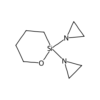 C1CC[Si](N2CC2)(N2CC2)OC1